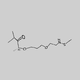 CSNCCOCCCO[C@H](C)C(=O)C(C)C